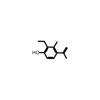 C=C(C)c1ccc(O)c(CC)c1C